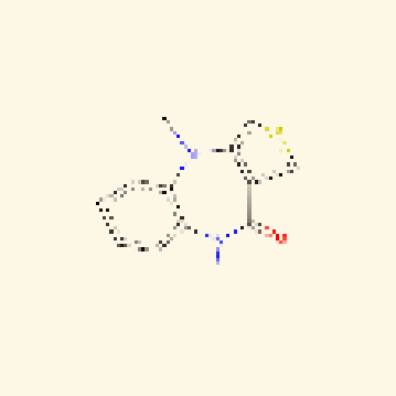 CN1C(=O)c2cscc2N(C)c2ccccc21